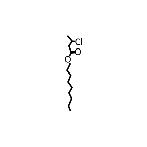 CCCCCCCCCOC(=O)CC(C)Cl